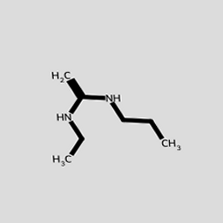 C=C(NCC)NCCC